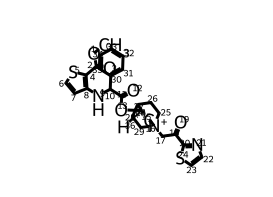 COC(=O)c1sccc1NC(C(=O)O[C@H]1C[N+]2(CC(=O)c3nccs3)CCC1CC2)c1ccccc1